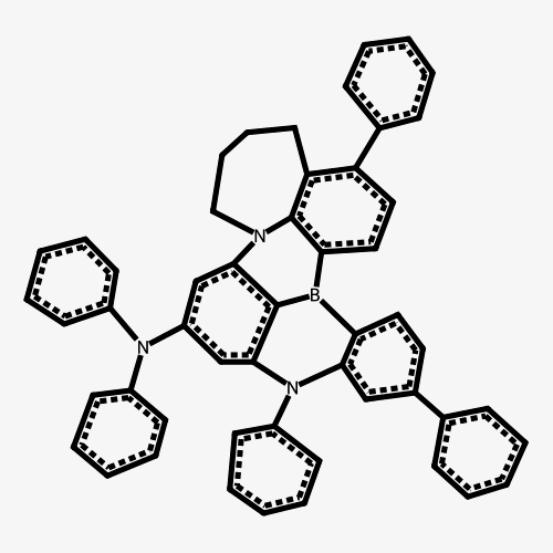 c1ccc(-c2ccc3c(c2)N(c2ccccc2)c2cc(N(c4ccccc4)c4ccccc4)cc4c2B3c2ccc(-c3ccccc3)c3c2N4CCCC3)cc1